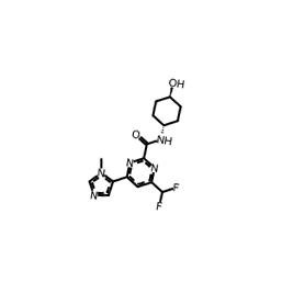 Cn1cncc1-c1cc(C(F)F)nc(C(=O)N[C@H]2CC[C@H](O)CC2)n1